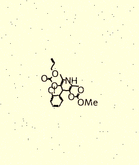 C=CCOC(=O)OC1=C(C)NC(C)=C(OC(=O)OC)C1c1ccccc1Cl